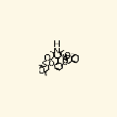 CCCC(OC(=O)C1=C(C)NC(C)=C([N+](=O)[O-])C1c1ccccc1OCc1ccccc1)SC(C)=O